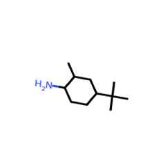 CC1CC(C(C)(C)C)CCC1N